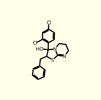 OC1(c2ccc(Cl)cc2Cl)C(Cc2ccccc2)SC2=NCCCN21